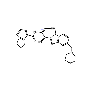 N=C(/C(=C\N)NC(=O)c1cccc2c1OCC2)c1nc2cc(CN3CCOCC3)ccc2[nH]1